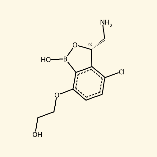 NC[C@H]1OB(O)c2c(OCCO)ccc(Cl)c21